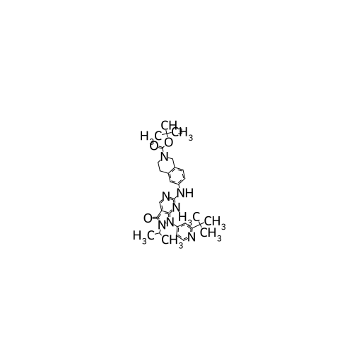 CC(C)n1c(=O)c2cnc(Nc3ccc4c(c3)CCN(C(=O)OC(C)(C)C)C4)nc2n1-c1ccnc(C(C)(C)C)c1